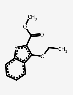 CCOc1c(C(=O)OC)sc2ccccc12